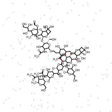 CC(=O)NC1C(O)[C@H](O[C@@H]2OC3CC(O)(O)[C@@H]3[C@H](O[C@]3(OC=O)C[C@@H](O)[C@@H](C)C([C@H](O)[C@H](O)CO)O3)C2O)[C@H](CO)O[C@H]1OCCC1[C@@H](OCC2O[C@@H](O[C@@H]3C(CO)O[C@@H](O[C@@H]4C(CO)O[C@@H](C)C(NC(C)=O)[C@H]4O)C(NC(C)=O)[C@H]3O)C(O)[C@@H](O[C@H]3OC(CO)[C@@H](O)C(O)C3O[C@@H]3OC(CO)[C@@H](O[C@@H]4OC5CC(O)(O)[C@@H]5[C@H](O)C4O)[C@H](O)C3NC(C)=O)[C@@H]2O)OC(CO)[C@@H](O)[C@@H]1O